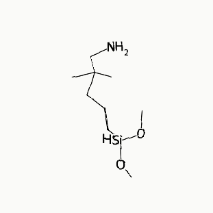 CO[SiH](CCCC(C)(C)CN)OC